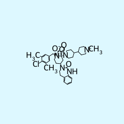 Cc1cc(C[N@+]2(C(=O)[O-])CCC(N3CCc4ccccc4NC3=O)CC2(CC=O)N2CCC(C3CCN(C)CC3)CC2)cc(C)c1Cl